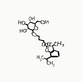 CC(C)c1cccc(C(C)C)c1OC(=O)OCCCOC1OC(CO)[C@@H](O)C(O)[C@H]1O